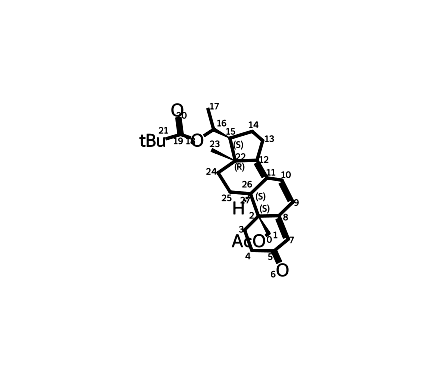 CC(=O)OC[C@]12CCC(=O)C=C1C=CC1=C3CC[C@H](C(C)OC(=O)C(C)(C)C)[C@@]3(C)CC[C@@H]12